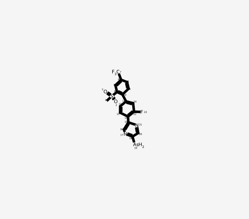 CS(=O)(=O)c1cc(C(F)(F)F)ccc1-c1ccc(-c2cnc([AsH2])cn2)c(F)c1